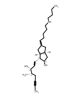 CC#CC[C@H](C)[C@H](O)/C=C/[C@@H]1[C@H]2C/C(=C/CCCCNCCCC)C[C@H]2C[C@H]1O